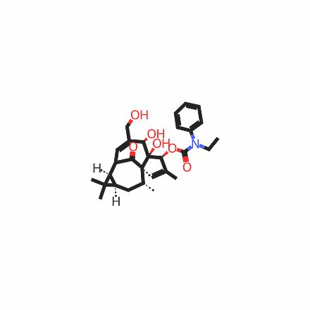 CCN(C(=O)O[C@H]1C(C)=C[C@]23C(=O)C(C=C(CO)[C@@H](O)[C@]12O)[C@H]1[C@@H](C[C@H]3C)C1(C)C)c1ccccc1